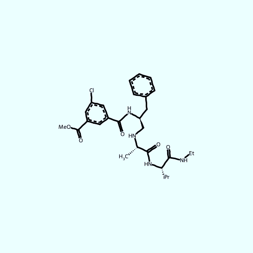 CCNC(=O)[C@@H](NC(=O)[C@H](C)NC[C@H](Cc1ccccc1)NC(=O)c1cc(Cl)cc(C(=O)OC)c1)C(C)C